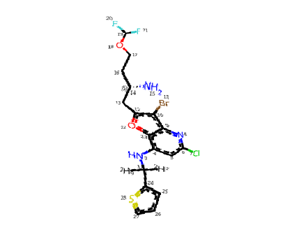 [2H]C([2H])(Nc1cc(Cl)nc2c(Br)c(C[C@@H](N)CCOC(F)F)oc12)c1cccs1